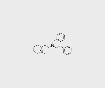 CN1CCCCC1CCN(CCc1ccccc1)Cc1ccccc1